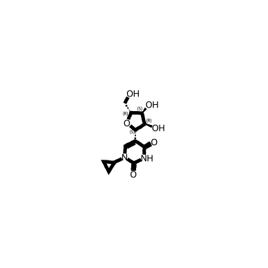 O=c1[nH]c(=O)n(C2CC2)cc1[C@@H]1O[C@H](CO)[C@@H](O)[C@H]1O